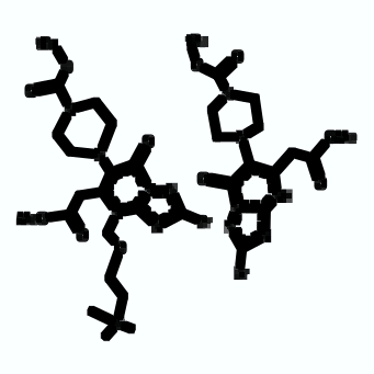 COC(=O)Cc1[nH]c2nc(Br)nn2c(=O)c1N1CCN(C(=O)OC(C)(C)C)CC1.COC(=O)Cc1c(N2CCN(C(=O)OC(C)(C)C)CC2)c(=O)n2nc(Br)nc2n1COCC[Si](C)(C)C